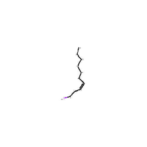 CCCCCC/C=C\CCI